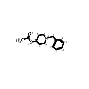 CC(=O)SC1CCN(Cc2ccccc2)CC1